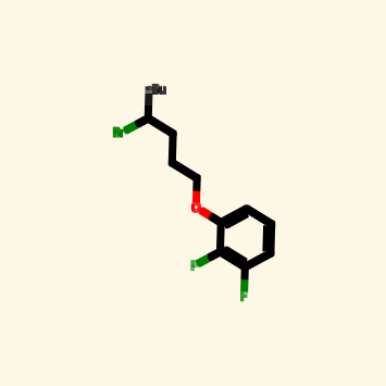 CCCCC(Br)CCCOc1cccc(F)c1F